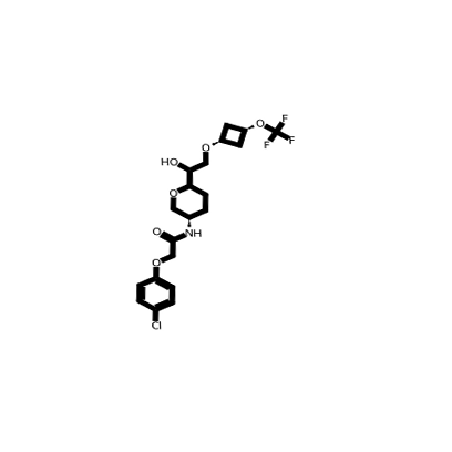 O=C(COc1ccc(Cl)cc1)N[C@H]1CCC(C(O)CO[C@H]2C[C@@H](OC(F)(F)F)C2)OC1